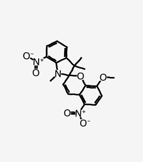 COc1ccc([N+](=O)[O-])c2c1OC1(C=C2)N(C)c2c([N+](=O)[O-])cccc2C1(C)C